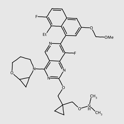 CCc1c(F)ccc2cc(OCOC)cc(-c3ncc4c(N5CCCOC6CC65)nc(OCC5(CO[SiH](C)C)CC5)nc4c3F)c12